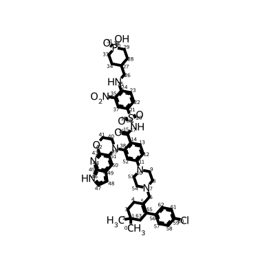 CC1(C)CCC(CN2CCN(c3ccc(C(=O)NS(=O)(=O)c4ccc(NCC5CCP(=O)(O)CC5)c([N+](=O)[O-])c4)c(N4CCOc5nc6[nH]ccc6cc54)c3)CC2)=C(c2ccc(Cl)cc2)C1